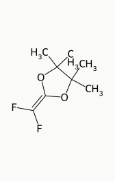 CC1(C)OC(=C(F)F)OC1(C)C